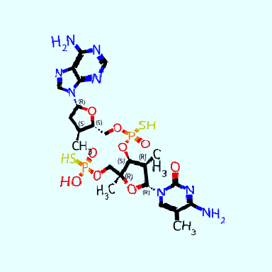 Cc1cn([C@@H]2O[C@](C)(COP(=O)(O)S)[C@@H](OP(=O)(S)OC[C@H]3O[C@@H](n4cnc5c(N)ncnc54)C[C@@H]3C)[C@H]2C)c(=O)nc1N